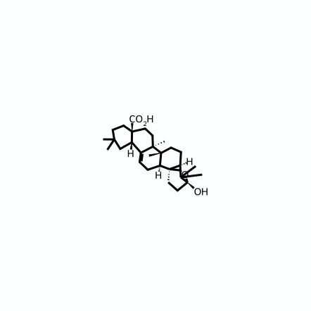 CC1(C)CC[C@]2(C(=O)O)CC[C@]3(C)C(=CC[C@@H]4[C@]56CC[C@@](O)(OC5)C(C)(C)[C@@H]6CC[C@]43C)[C@@H]2C1